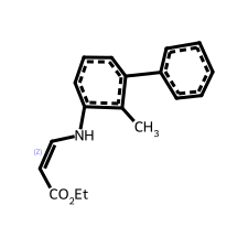 CCOC(=O)/C=C\Nc1cccc(-c2ccccc2)c1C